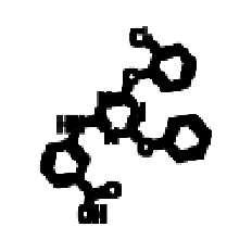 O=C(O)c1cccc(Nc2nc(Oc3ccccc3)nc(Oc3ccccc3Cl)n2)c1